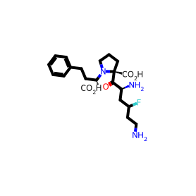 NCCC(F)C[C@H](N)C(=O)[C@@]1(C(=O)O)CCCN1[C@@H](CCc1ccccc1)C(=O)O